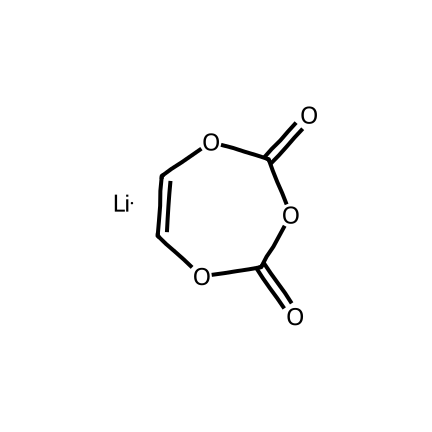 O=C1OC=COC(=O)O1.[Li]